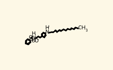 CCCCCCCCCCCCCCCCNc1ccc(CCC(=O)NS(=O)(=O)c2ccccc2)cc1